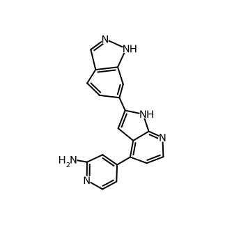 Nc1cc(-c2ccnc3[nH]c(-c4ccc5cn[nH]c5c4)cc23)ccn1